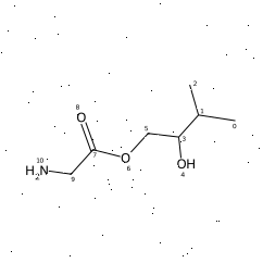 CC(C)C(O)COC(=O)CN